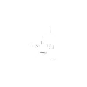 CCc1[nH]n(CC(C)C)c(=O)c1C